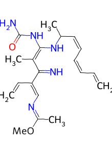 C=C/C=C\C=C/C(C)N/C(NC(N)=O)=C(/C)C(=N)/C(C=C)=C/N=C(\C)OC